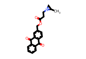 CC1CN1CCC(=O)OCc1ccc2c(c1)C(=O)c1ccccc1C2=O